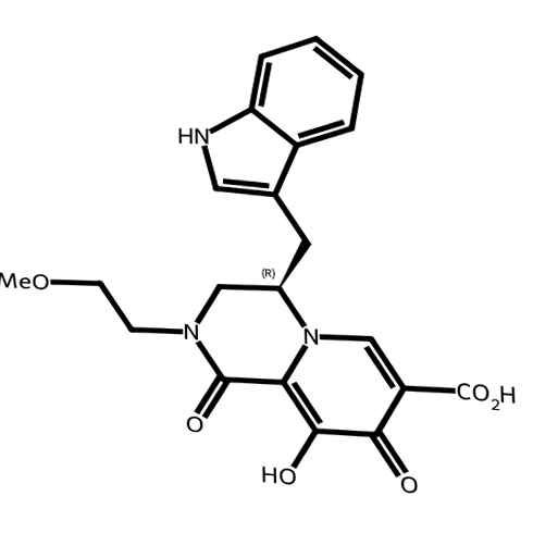 COCCN1C[C@@H](Cc2c[nH]c3ccccc23)n2cc(C(=O)O)c(=O)c(O)c2C1=O